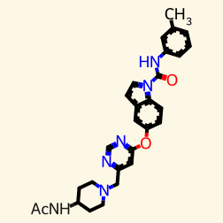 CC(=O)NC1CCN(Cc2cc(Oc3ccc4c(ccn4C(=O)Nc4cccc(C)c4)c3)ncn2)CC1